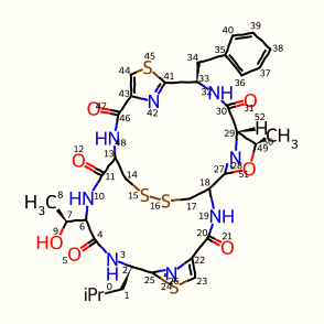 CC(C)C[C@H]1NC(=O)C([C@H](C)O)NC(=O)C2CSSCC(NC(=O)c3csc1n3)C1=N[C@H](C(=O)N[C@H](Cc3ccccc3)c3nc(cs3)C(=O)N2)[C@@H](C)O1